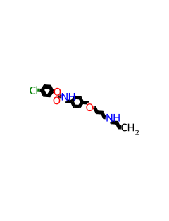 C=CCCNCCCCOCC1CCC(CNC(=O)Oc2ccc(Cl)cc2)CC1